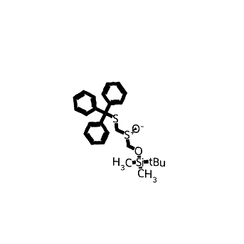 CC(C)(C)[Si](C)(C)OC[S@+]([O-])CSC(c1ccccc1)(c1ccccc1)c1ccccc1